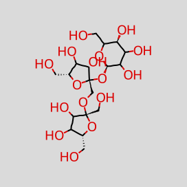 OCC1O[C@H](O[C@]2(CO[C@]3(CO)O[C@H](CO)C(O)C3O)O[C@H](CO)C(O)C2O)C(O)C(O)[C@@H]1O